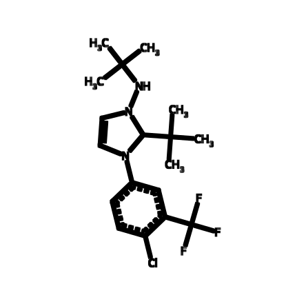 CC(C)(C)NN1C=CN(c2ccc(Cl)c(C(F)(F)F)c2)C1C(C)(C)C